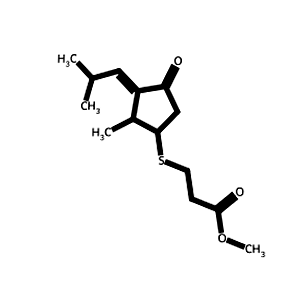 COC(=O)CCSC1CC(=O)/C(=C/C(C)C)C1C